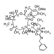 CC[C@H]1OC(=O)[C@H](C)[C@@H](O[C@H]2C[C@@](C)(OC)[C@@H](O)[C@H](C)O2)[C@H](C)[C@@H](O[C@@H]2O[C@H](C)C[C@H]3[C@H]2OC(=NCc2ccccc2)N3C)[C@](C)(OC)C[C@@H](C)C(=O)[C@H](C)[C@@H](O)[C@]1(C)O